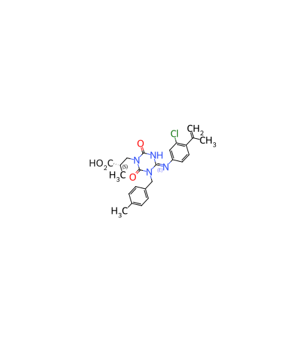 C=C(C)c1ccc(/N=c2\[nH]c(=O)n(C[C@H](C)C(=O)O)c(=O)n2Cc2ccc(C)cc2)cc1Cl